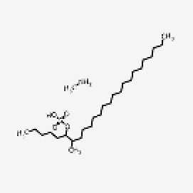 CCCCCCCCCCCCCCCCCCC(C)C(CCCCC)OS(=O)(=O)O.CN